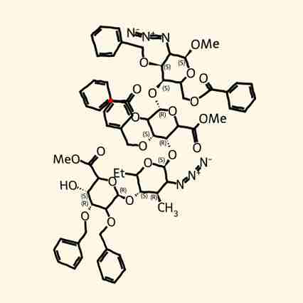 CCC1O[C@@H](O[C@H]2C(C(=O)OC)O[C@@H](O[C@@H]3C(COC(=O)c4ccccc4)O[C@H](OC)C(N=[N+]=[N-])[C@@H]3OCc3ccccc3)C(OC(=O)c3ccccc3)[C@H]2OCc2ccccc2)C(N=[N+]=[N-])[C@@H](C)[C@@H]1O[C@@H]1OC(C(=O)OC)[C@@H](O)[C@@H](OCc2ccccc2)C1OCc1ccccc1